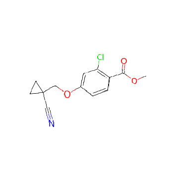 COC(=O)c1ccc(OCC2(C#N)CC2)cc1Cl